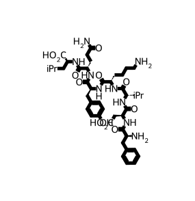 CC(C)C[C@H](NC(=O)[C@H](CCC(N)=O)NC(=O)[C@H](Cc1ccc(O)cc1)NC(=O)[C@H](CCCCN)NC(=O)[C@@H](NC(=O)[C@H](CC(=O)O)NC(=O)[C@@H](N)Cc1ccccc1)C(C)C)C(=O)O